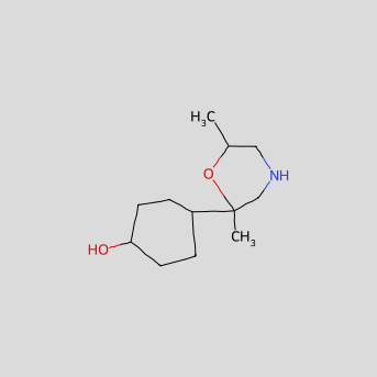 CC1CNCC(C)(C2CCC(O)CC2)O1